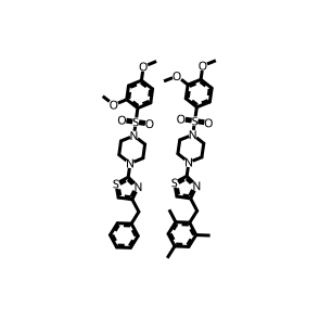 COc1ccc(S(=O)(=O)N2CCN(c3nc(Cc4c(C)cc(C)cc4C)cs3)CC2)cc1OC.COc1ccc(S(=O)(=O)N2CCN(c3nc(Cc4ccccc4)cs3)CC2)c(OC)c1